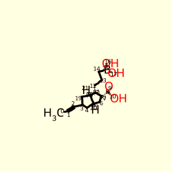 CC#CC1C[C@@H]2C[C@@H](C(=O)O)[C@@H](CCCB(O)O)[C@@H]2C1